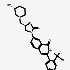 O=C1O[C@H](CN2CCC[C@@H](O)C2)CN1c1ccc2cc(-c3ccccc3C(F)(F)F)[nH]c(=O)c2c1